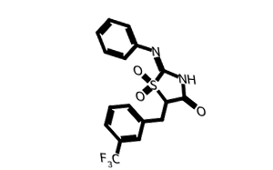 O=C1NC(=Nc2ccccc2)S(=O)(=O)C1Cc1cccc(C(F)(F)F)c1